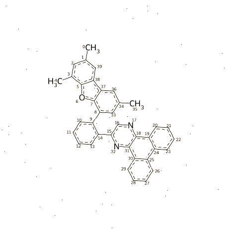 Cc1cc(C)c2oc3c(-c4ccccc4-c4cnc5c6ccccc6c6ccccc6c5n4)cc(C)cc3c2c1